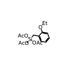 CCOc1ccccc1C[Si](OC(C)=O)(OC(C)=O)OC(C)=O